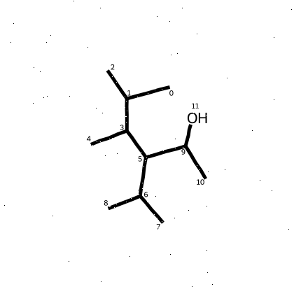 CC(C)C(C)C(C(C)C)C(C)O